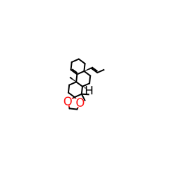 CC=C[C@]12CCCC=C1[C@@]1(C)CCC3(OCCO3)C(C)(C)[C@@H]1CC2